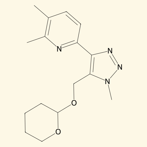 Cc1ccc(-c2nnn(C)c2COC2CCCCO2)nc1C